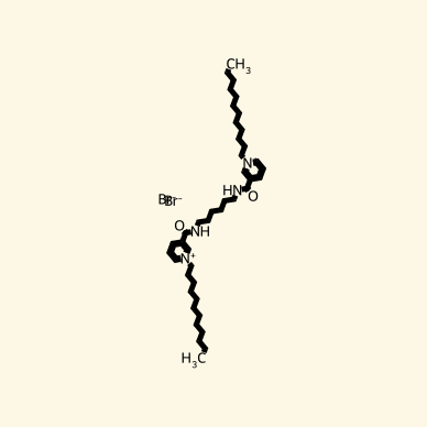 CCCCCCCCCCCC[n+]1cccc(C(=O)NCCCCCCNC(=O)c2ccc[n+](CCCCCCCCCCCC)c2)c1.[Br-].[Br-]